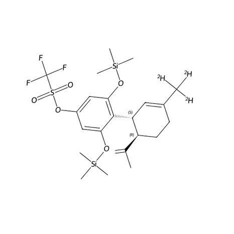 [2H]C([2H])([2H])C1=C[C@@H](c2c(O[Si](C)(C)C)cc(OS(=O)(=O)C(F)(F)F)cc2O[Si](C)(C)C)[C@H](C(=C)C)CC1